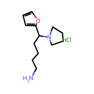 Cl.NCCCCC(c1ccco1)N1CCCC1